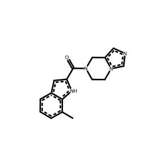 Cc1cccc2cc(C(=O)N3CCn4cncc4C3)[nH]c12